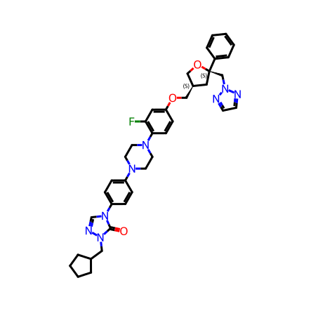 O=c1n(-c2ccc(N3CCN(c4ccc(OC[C@H]5CO[C@](Cn6nccn6)(c6ccccc6)C5)cc4F)CC3)cc2)cnn1CC1CCCC1